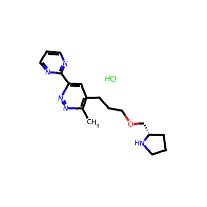 Cc1nnc(-c2ncccn2)cc1CCCOC[C@@H]1CCCN1.Cl